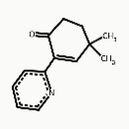 CC1(C)C=C(c2ccccn2)C(=O)CC1